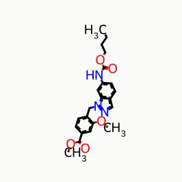 CCCCOC(=O)Nc1ccc2cnn(Cc3ccc(C(=O)OC)cc3OC)c2c1